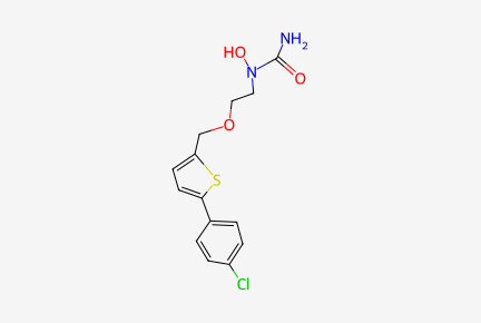 NC(=O)N(O)CCOCc1ccc(-c2ccc(Cl)cc2)s1